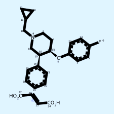 Fc1ccc(O[C@@H]2CCN(CC3CC3)C[C@@H]2c2ccccc2)cc1.O=C(O)/C=C/C(=O)O